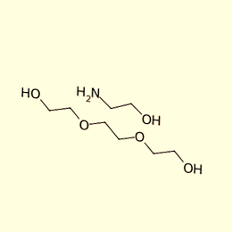 NCCO.OCCOCCOCCO